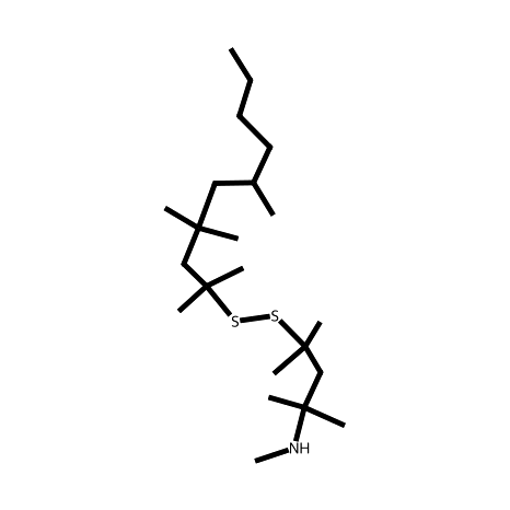 CCCCC(C)CC(C)(C)CC(C)(C)SSC(C)(C)CC(C)(C)NC